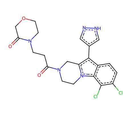 O=C1COCCN1CCC(=O)N1CCn2c(c(-c3cn[nH]c3)c3ccc(Cl)c(Cl)c32)C1